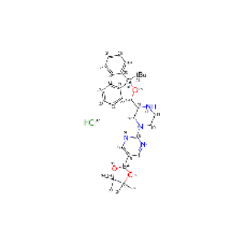 CC1(C)OB(c2cnc(N3CCNC(CO[Si](c4ccccc4)(c4ccccc4)C(C)(C)C)C3)nc2)OC1(C)C.Cl